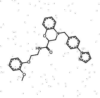 COc1ccccc1OCCNC(=O)C1CN(Cc2ccc(-n3cccn3)cc2)c2ccccc2O1